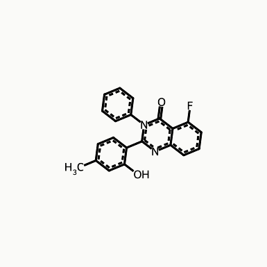 Cc1ccc(-c2nc3cccc(F)c3c(=O)n2-c2ccccc2)c(O)c1